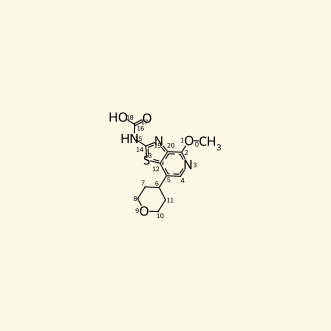 COc1ncc(C2CCOCC2)c2sc(NC(=O)O)nc12